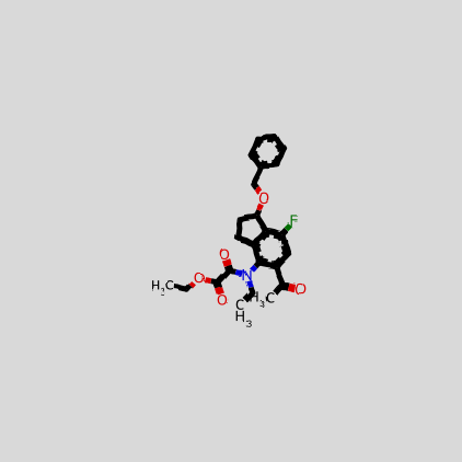 CCOC(=O)C(=O)N(CC)c1c(C(C)=O)cc(F)c2c1CCC2OCc1ccccc1